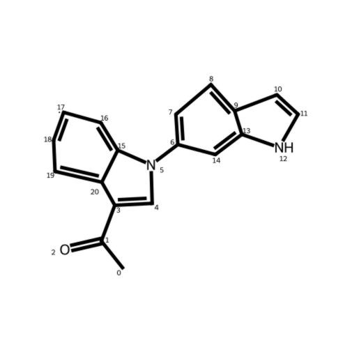 CC(=O)c1cn(-c2ccc3cc[nH]c3c2)c2c[c]ccc12